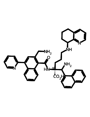 NCc1cc(-c2ccccn2)c2ccccc2c1C(=O)N[C@](CCCNC1CCCc2cccnc21)(C(=O)O)C(N)c1cccc2ccccc12